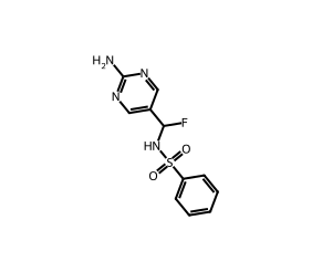 Nc1ncc(C(F)NS(=O)(=O)c2ccccc2)cn1